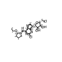 CCO[C@H]1CCCN1Nc1nc(Cl)nc2c1ncn2[C@@H]1O[C@H](CCl)[C@@H](O)[C@H]1O